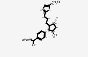 CCCCCC(O)c1ccc([C@@H]2C(CCCc3ncc(C(=O)OCC)s3)[C@H](Cl)C[C@H]2O)cc1